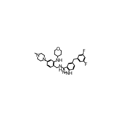 CN1CCN(c2ccc(CNc3n[nH]c4ccc(Cc5cc(F)cc(F)c5)cc34)c(NC3CCOCC3)c2)CC1